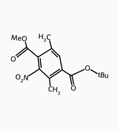 COC(=O)c1c(C)cc(C(=O)OC(C)(C)C)c(C)c1[N+](=O)[O-]